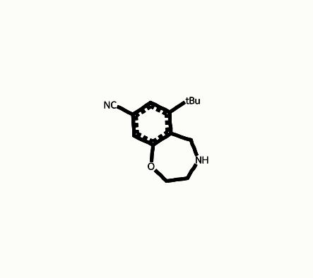 CC(C)(C)c1cc(C#N)cc2c1CNCCO2